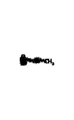 CCCCCN1CCN(CCCCCCn2c(=O)oc3cccnc32)CC1